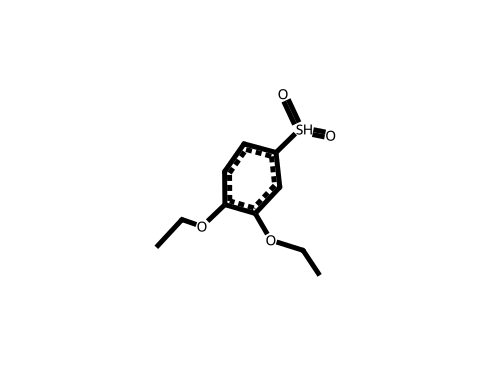 CCOc1ccc([SH](=O)=O)cc1OCC